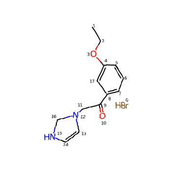 Br.CCOc1cccc(C(=O)CN2C=CNC2)c1